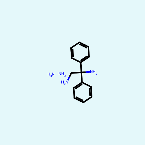 N.N.NCC(N)(c1ccccc1)c1ccccc1